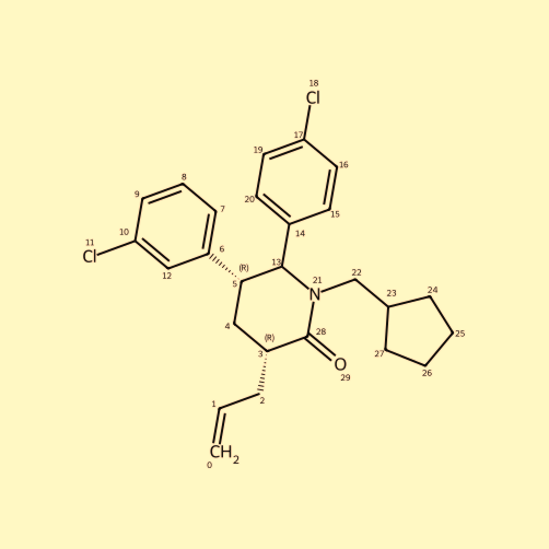 C=CC[C@@H]1C[C@H](c2cccc(Cl)c2)C(c2ccc(Cl)cc2)N(CC2CCCC2)C1=O